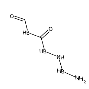 NBNBC(=O)BC=O